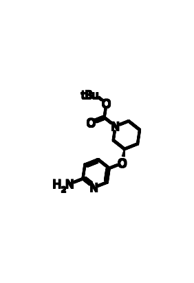 CC(C)(C)OC(=O)N1CCC[C@H](Oc2ccc(N)nc2)C1